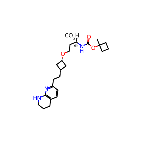 CC1(OC(=O)N[C@@H](CCO[C@H]2C[C@H](CCc3ccc4c(n3)NCCC4)C2)C(=O)O)CCC1